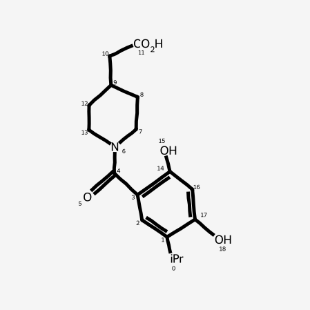 CC(C)c1cc(C(=O)N2CCC(CC(=O)O)CC2)c(O)cc1O